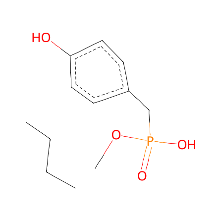 CCCC.COP(=O)(O)Cc1ccc(O)cc1